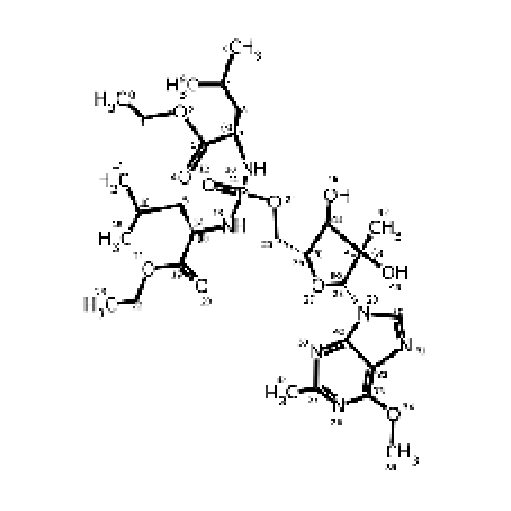 CCOC(=O)[C@@H](CC(C)C)NP(=O)(N[C@H](CC(C)C)C(=O)OCC)OC[C@H]1O[C@@H](n2cnc3c(OC)nc(C)nc32)[C@@](C)(O)C1O